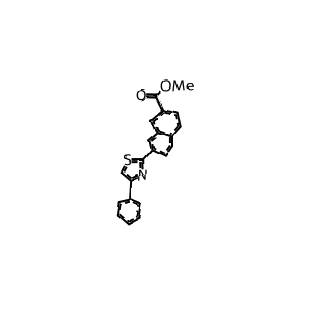 COC(=O)c1ccc2ccc(-c3nc(-c4ccccc4)cs3)cc2c1